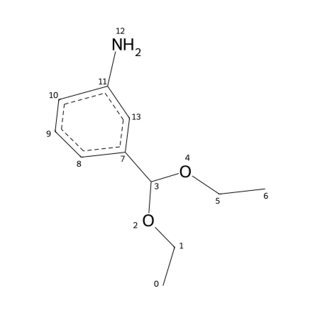 CCOC(OCC)c1cccc(N)c1